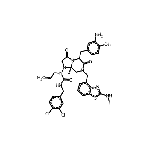 C=CCN(C(=O)NCc1ccc(Cl)c(Cl)c1)N1CC(=O)N2[C@@H](Cc3ccc(O)c(N)c3)C(=O)N(Cc3cccc4sc(NI)nc34)C[C@@H]21